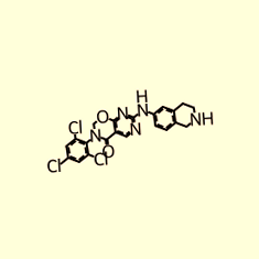 O=C1c2cnc(Nc3ccc4c(c3)CCNC4)nc2OCN1c1c(Cl)cc(Cl)cc1Cl